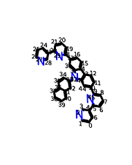 c1cncc(-c2cccc(-c3ccc4c5ccc(-c6cccc(-c7cccnc7)n6)cc5n(-c5ccc6ccccc6c5)c4c3)n2)c1